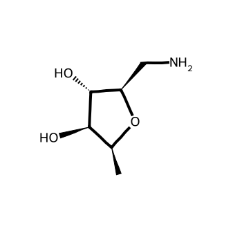 C[C@@H]1O[C@H](CN)[C@@H](O)[C@@H]1O